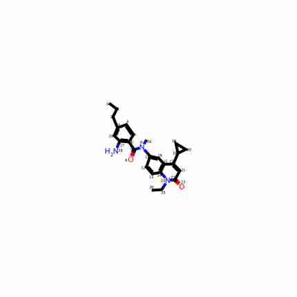 CCCc1ccc(C(=O)N(C)c2ccc3c(c2)c(C2CC2)cc(=O)n3CC)c(N)c1